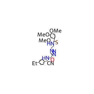 CCc1ccc(C(C#N)NC(=O)c2cn(CCNC(=S)c3ccc(OC)c(OC)c3OC)nn2)cc1